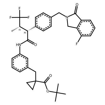 C[C@@H]([C@@H](C(=O)Nc1cccc(CC2(C(=O)OC(C)(C)C)CC2)c1)c1ccc(CN2Cc3c(F)cccc3C2=O)cc1)C(F)(F)F